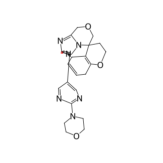 C1=CCC2=C(C1)OCCC21COCc2nc3ccc(-c4cnc(N5CCOCC5)nc4)nc3n21